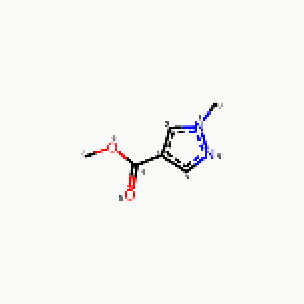 [CH2]n1cc(C(=O)OC)cn1